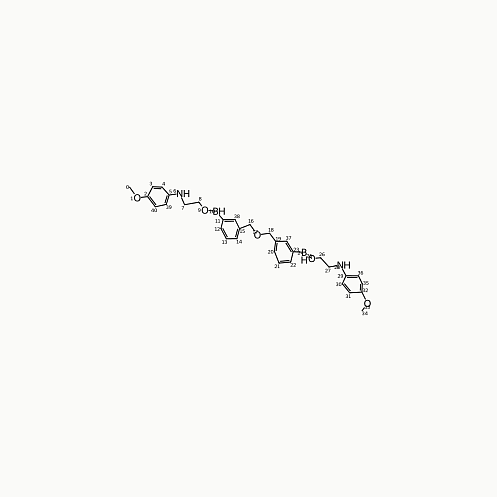 COc1ccc(NCCOBc2cccc(COCc3cccc(BOCCNc4ccc(OC)cc4)c3)c2)cc1